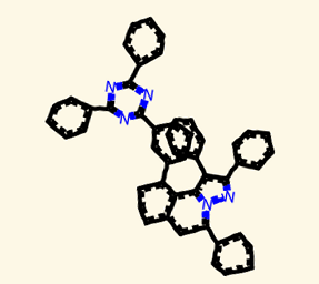 c1ccc(-c2nc(-c3ccccc3)nc(-c3cccc(-c4cccc5cc(-c6ccccc6)n6nc(-c7ccccc7)c(-c7ccccc7)c6c45)c3)n2)cc1